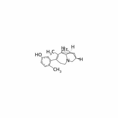 CC[C@H]1C[C@H]2C[C@H]3C(C)=C(c4cc(O)ccc4C)CCN(C2)C13